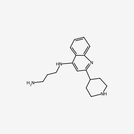 NCCCNc1cc(C2CCNCC2)nc2ccccc12